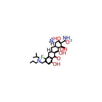 C=C1C(C(N)=O)=C(O)[C@@H](N(C)C)[C@@H]2C[C@@H]3Cc4c(F)c(CN(CCC)CC(C)C)cc(O)c4C(=O)C3=C(O)[C@]12O